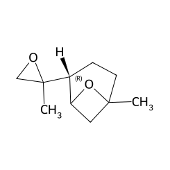 CC12CC[C@@H](C3(C)CO3)C(C1)O2